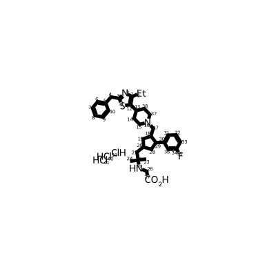 CCc1nc(Cc2ccccc2)sc1C1CCN(CC2CC(CC(C)(C)NCC(=O)O)CC2c2cccc(F)c2)CC1.Cl.Cl.Cl